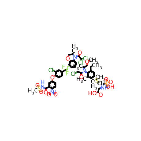 CC1COc2ccccc2N1C(=O)C(Cl)Cl.CCc1cccc(C)c1N(C(=O)CCl)C(C)COC.CS(=O)(=O)NC(=O)c1cc(Oc2ccc(C(F)(F)F)cc2Cl)ccc1[N+](=O)[O-].C[S+](C)C.O=C(O)CNCP(=O)([O-])O